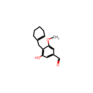 COc1cc(C=O)cc(O)c1CC1=CCCCC1